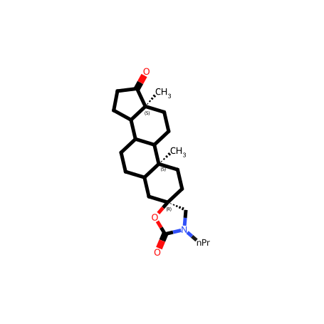 CCCN1C[C@]2(CC[C@@]3(C)C(CCC4C3CC[C@]3(C)C(=O)CCC43)C2)OC1=O